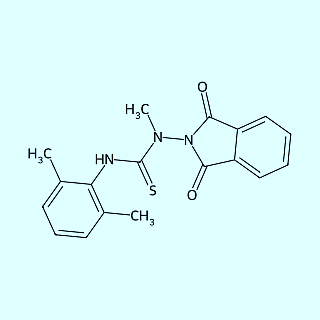 Cc1cccc(C)c1NC(=S)N(C)N1C(=O)c2ccccc2C1=O